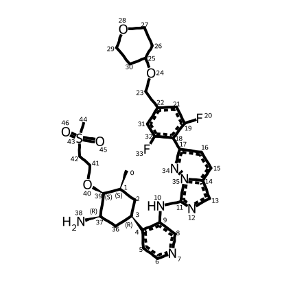 C[C@H]1C[C@@H](c2ccncc2Nc2ncc3ccc(-c4c(F)cc(COC5CCOCC5)cc4F)nn23)C[C@@H](N)[C@H]1OCCS(C)(=O)=O